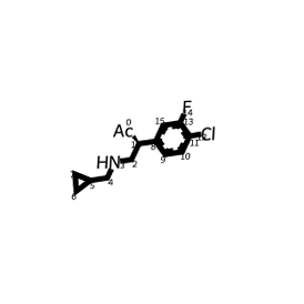 CC(=O)[C@H](CNCC1CC1)c1ccc(Cl)c(F)c1